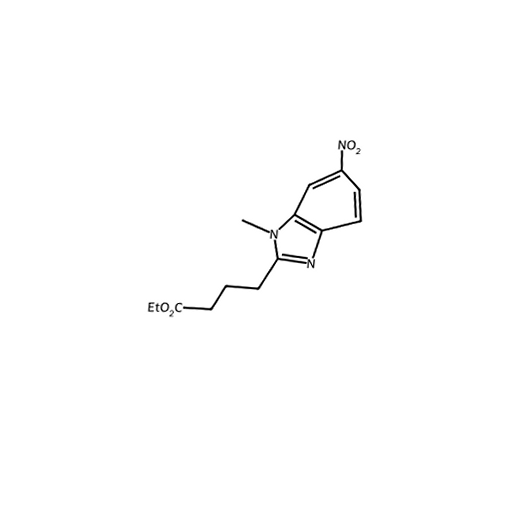 CCOC(=O)CCCc1nc2ccc([N+](=O)[O-])cc2n1C